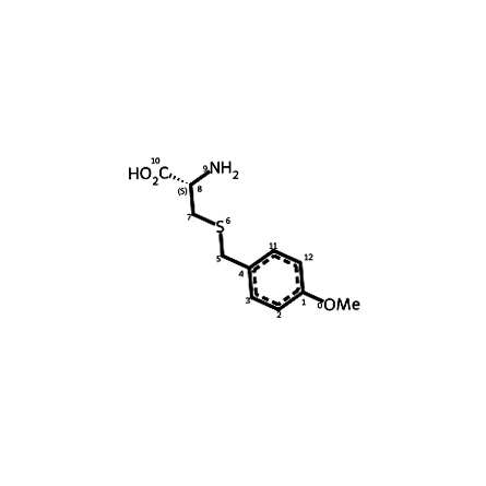 COc1ccc(CSC[C@@H](N)C(=O)O)cc1